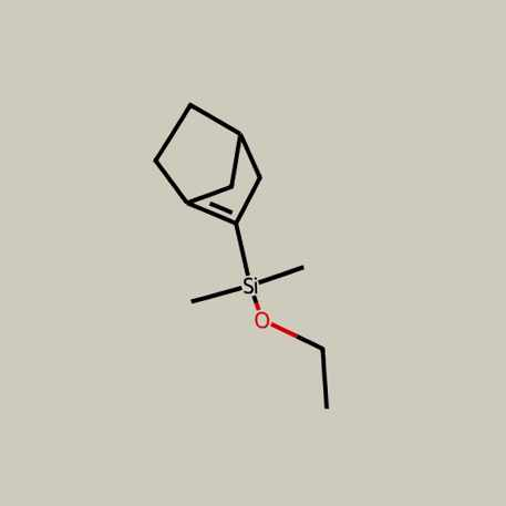 CCO[Si](C)(C)C1=C2CCC(C2)C1